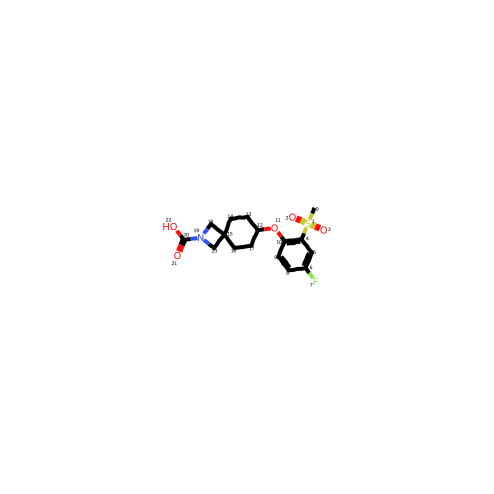 CS(=O)(=O)c1cc(F)ccc1OC1CCC2(CC1)CN(C(=O)O)C2